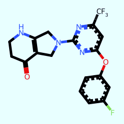 O=C1CCNC2=C1CN(c1nc(Oc3cccc(F)c3)cc(C(F)(F)F)n1)C2